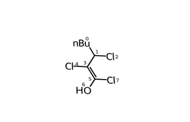 CCCCC(Cl)C(Cl)=C(O)Cl